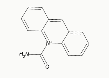 NC(=O)[n+]1c2ccccc2cc2ccccc21